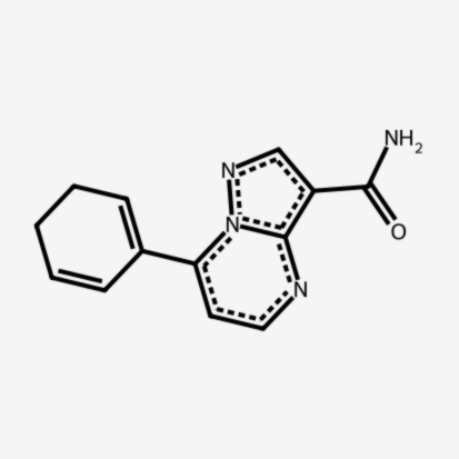 NC(=O)c1cnn2c(C3=CCCC=C3)ccnc12